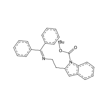 CC(C)(C)OC(=O)n1c(CCN=C(c2ccccc2)c2ccccc2)cc2ccccc21